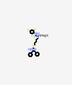 CCCCCCCN(CCCCCSc1nc(-c2ccccc2)c(-c2ccccc2)[nH]1)C(=S)Nc1c(F)cc(F)cc1F